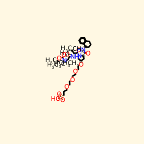 CC(C(=O)NC(C(=O)N1C[C@@H](OCCOCCOCCOCCCS(=O)(=O)O)C[C@H]1C(=O)N[C@@H]1CCCc2ccccc21)C(C)(C)C)N(C)C(=O)OC(C)(C)C